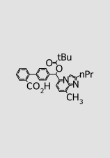 CCCc1cn2c(C(OC(=O)C(C)(C)C)c3ccc(-c4ccccc4C(=O)O)cc3)ccc(C)c2n1